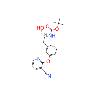 CC(C)(C)OC(=O)N[C@@H](CO)Cc1cccc(Oc2ncccc2C#N)c1